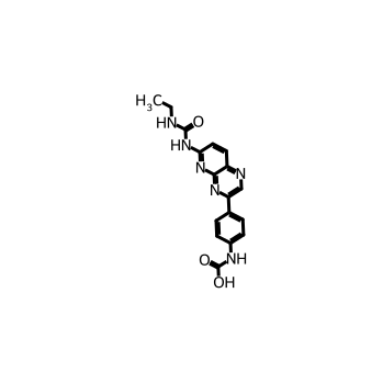 CCNC(=O)Nc1ccc2ncc(-c3ccc(NC(=O)O)cc3)nc2n1